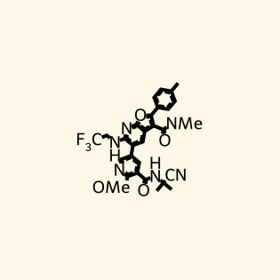 CNC(=O)c1c(-c2ccc(C)cc2)oc2nc(NCC(F)(F)F)c(-c3cnc(OC)c(C(=O)NC(C)(C)C#N)c3)cc12